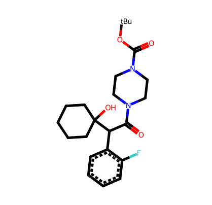 CC(C)(C)OC(=O)N1CCN(C(=O)C(c2ccccc2F)C2(O)CCCCC2)CC1